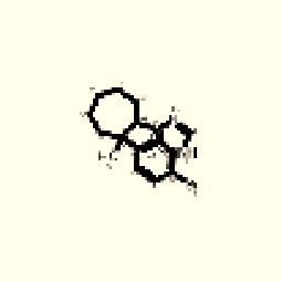 OC1(c2ccc(Br)cc2)CCCCCC1c1nc[nH]n1